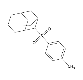 Cc1ccc(S(=O)(=O)C2C3CC4CC(C3)CC2C4)cc1